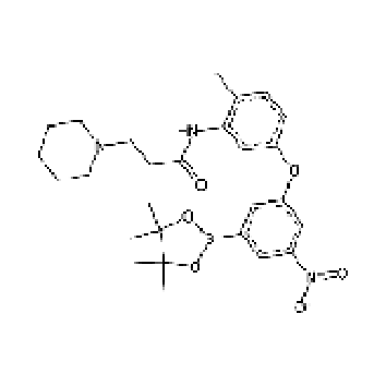 Cc1ccc(Oc2cc(B3OC(C)(C)C(C)(C)O3)cc([N+](=O)[O-])c2)cc1NC(=O)CCN1CCCCC1